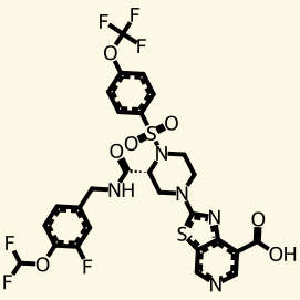 O=C(O)c1cncc2sc(N3CCN(S(=O)(=O)c4ccc(OC(F)(F)F)cc4)[C@@H](C(=O)NCc4ccc(OC(F)F)c(F)c4)C3)nc12